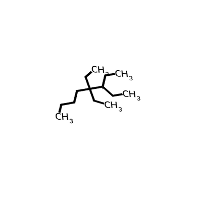 CCCCC(CC)(CC)[C](CC)CC